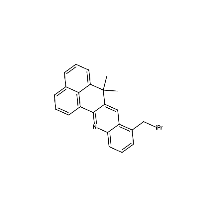 CC(C)Cc1cccc2nc3c(cc12)C(C)(C)c1cccc2cccc-3c12